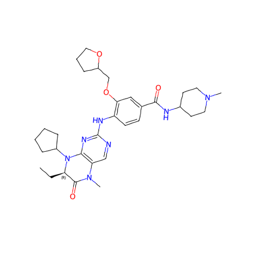 CC[C@@H]1C(=O)N(C)c2cnc(Nc3ccc(C(=O)NC4CCN(C)CC4)cc3OCC3CCCO3)nc2N1C1CCCC1